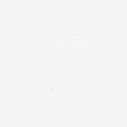 CCCCCP(=O)(CCCCC)Oc1ccc(C)cc1